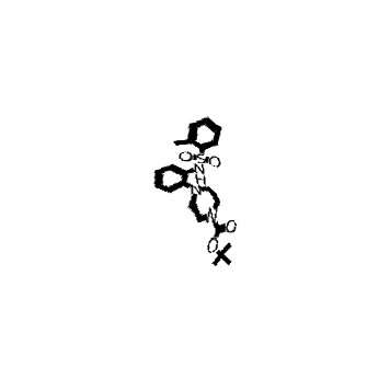 Cc1ccccc1S(=O)(=O)Nc1ccccc1N1CCN(C(=O)OC(C)(C)C)CC1